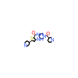 O=C1NC2(CCN(C(=O)c3cccnc3)CC2)Nc2cc(-c3ccncc3)sc21